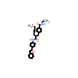 CCC#CCC(Cc1ccc(C(=O)NCC)cc1)C(=O)Nc1ccc(-c2cc3ccccc3o2)cc1F